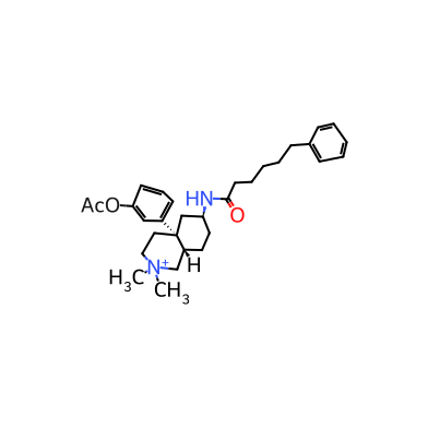 CC(=O)Oc1cccc([C@@]23CC[N+](C)(C)C[C@H]2CC[C@H](NC(=O)CCCCCc2ccccc2)C3)c1